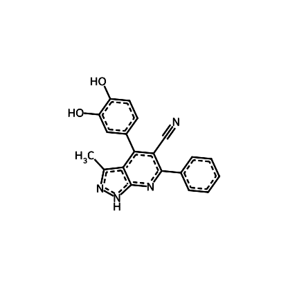 Cc1n[nH]c2nc(-c3ccccc3)c(C#N)c(-c3ccc(O)c(O)c3)c12